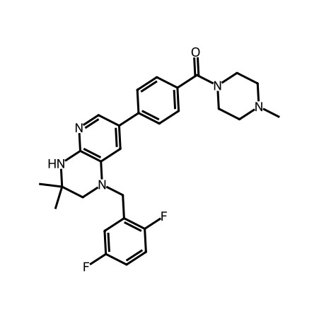 CN1CCN(C(=O)c2ccc(-c3cnc4c(c3)N(Cc3cc(F)ccc3F)CC(C)(C)N4)cc2)CC1